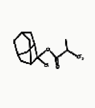 CCC1(OC(=O)C(C)C(F)(F)F)C2CC3CC(C2)CC1C3